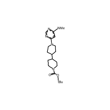 CNc1cc(N2CCC(C3CCN(C(=O)OC(C)(C)C)CC3)CC2)ncn1